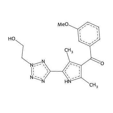 COc1cccc(C(=O)c2c(C)[nH]c(-c3nnn(CCO)n3)c2C)c1